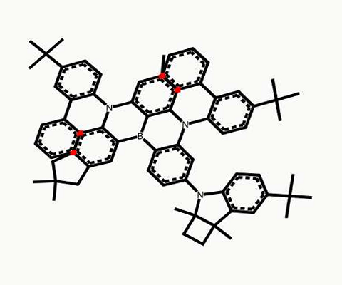 Cc1cc2c3c(c1)N(c1ccc(C(C)(C)C)cc1-c1ccccc1)c1cc4c(cc1B3c1ccc(N3c5ccc(C(C)(C)C)cc5C5(C)CCC35C)cc1N2c1ccc(C(C)(C)C)cc1-c1ccccc1)CC(C)(C)C4